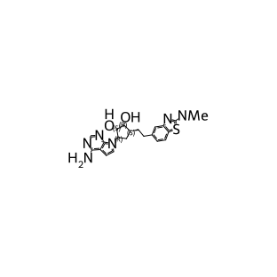 CNc1nc2cc(CC[C@H]3C[C@@H](n4ccc5c(N)ncnc54)[C@H](O)[C@@H]3O)ccc2s1